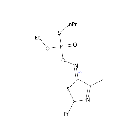 CCCSP(=O)(OCC)O/N=C1\SC(C(C)C)N=C1C